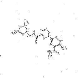 CNC(=O)c1nc(-c2cccc(C(=O)NCc3cc(C)cc(C)c3)c2)cnc1N